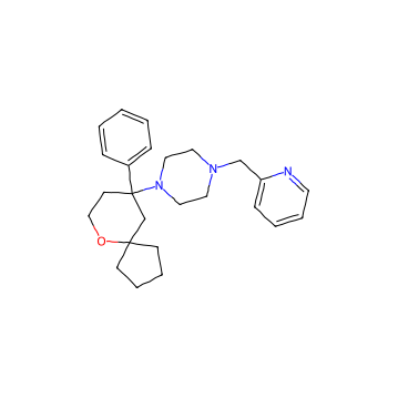 c1ccc(C2(N3CCN(Cc4ccccn4)CC3)CCOC3(CCCC3)C2)cc1